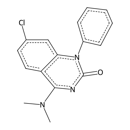 CN(C)c1nc(=O)n(-c2ccccc2)c2cc(Cl)ccc12